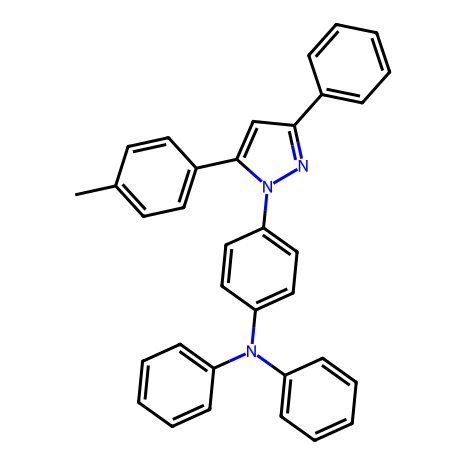 Cc1ccc(-c2cc(-c3ccccc3)nn2-c2ccc(N(c3ccccc3)c3ccccc3)cc2)cc1